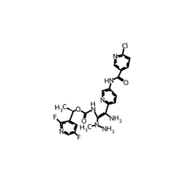 C[C@@H](OC(=O)N/C(=C(/N)c1ccc(NC(=O)c2ccc(Cl)nc2)cn1)N(C)N)c1cc(F)cnc1F